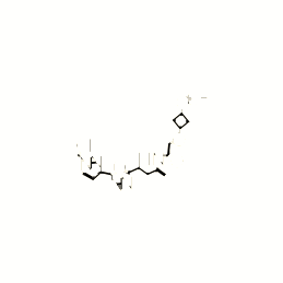 C=C(CCc1nnc(-c2ccn(CC(F)(F)F)n2)o1)NC(=O)CO[C@H]1C[C@@H](OC(F)(F)F)C1